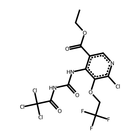 CCOC(=O)c1cnc(Cl)c(OCC(F)(F)F)c1NC(=O)NC(=O)C(Cl)(Cl)Cl